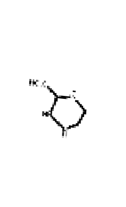 O=C(O)C1NCCNN1